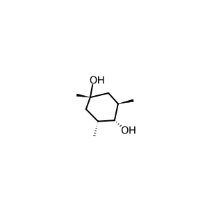 C[C@@H]1C[C@](C)(O)C[C@@H](C)[C@@H]1O